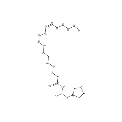 [CH2]C(CN1CCCC1)OC(=O)CCCCCCC/C=C\C/C=C\CCCCC